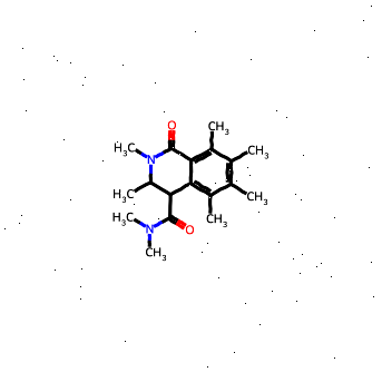 Cc1c(C)c(C)c2c(c1C)C(=O)N(C)C(C)C2C(=O)N(C)C